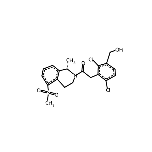 C[C@H]1c2cccc(S(C)(=O)=O)c2CCN1C(=O)Cc1c(Cl)ccc(CO)c1Cl